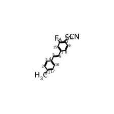 Cc1ccc(C=Cc2ccc(SC#N)c(F)c2)cc1